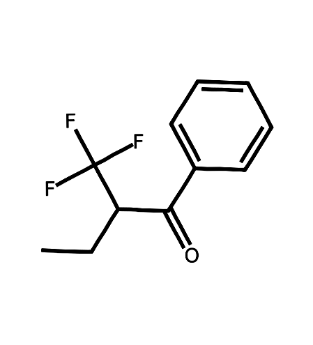 CCC(C(=O)c1ccccc1)C(F)(F)F